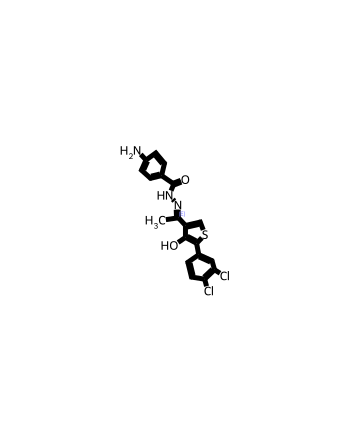 C/C(=N\NC(=O)c1ccc(N)cc1)c1csc(-c2ccc(Cl)c(Cl)c2)c1O